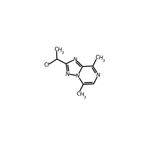 Cc1ncc(C)n2nc(C(C)Cl)nc12